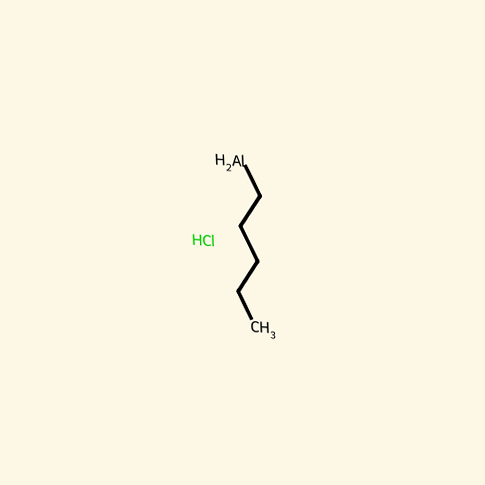 CCCC[CH2][AlH2].Cl